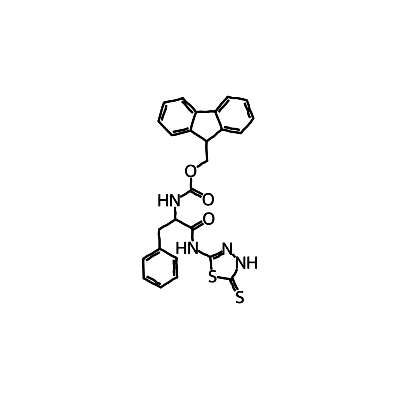 O=C(NC(Cc1ccccc1)C(=O)Nc1n[nH]c(=S)s1)OCC1c2ccccc2-c2ccccc21